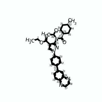 CCOC(=O)c1cn(-c2ccc(-c3ccc4nccnc4c3)cc2)nc1N(C(=O)[C@H]1CC[C@H](C)CC1)C(C)C